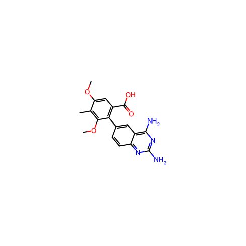 COc1cc(C(=O)O)c(-c2ccc3nc(N)nc(N)c3c2)c(OC)c1C